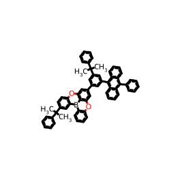 CC(C)(c1ccccc1)c1cc(-c2cc3c4c(c2)Oc2ccc(C(C)(C)c5ccccc5)cc2B4c2ccccc2O3)cc(-c2c3ccccc3c(-c3ccccc3)c3ccccc23)c1